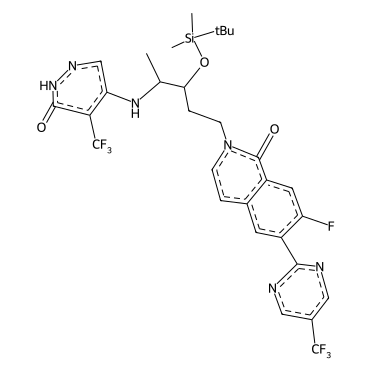 CC(Nc1cn[nH]c(=O)c1C(F)(F)F)C(CCn1ccc2cc(-c3ncc(C(F)(F)F)cn3)c(F)cc2c1=O)O[Si](C)(C)C(C)(C)C